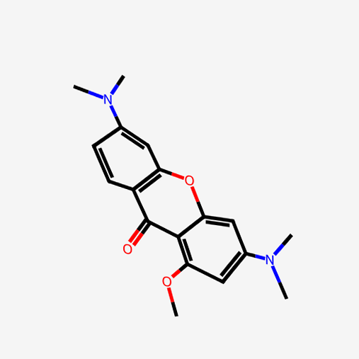 COc1cc(N(C)C)cc2oc3cc(N(C)C)ccc3c(=O)c12